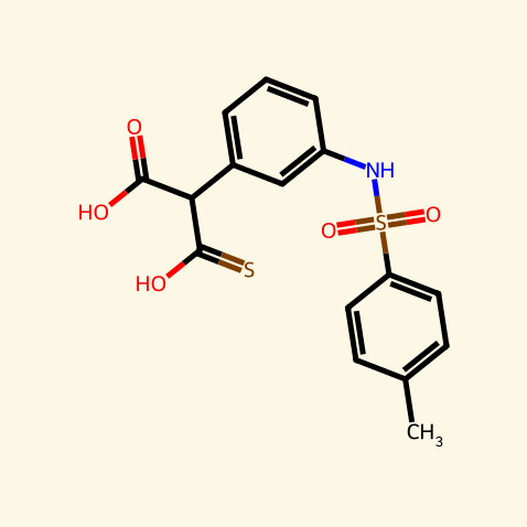 Cc1ccc(S(=O)(=O)Nc2cccc(C(C(=O)O)C(O)=S)c2)cc1